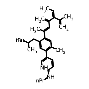 C=C(C)/C(=C/C)C(=C)/C=C(\C)c1cc(C)c(C(/C=C\CNCCC)=C/N)cc1CC(C)C(C)(C)C